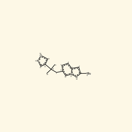 CC(C)(C)c1cc2ccc(CC(C)(C)c3cnoc3)cn2n1